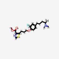 [2H]C(CCCc1ccc(OCCCc2scnc2C(=O)OC)c(F)c1)N(C)C